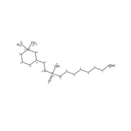 CCCCCCCCCCCCCCCCOP(=O)(O)OCC1CCC[N+](C)(C)C1